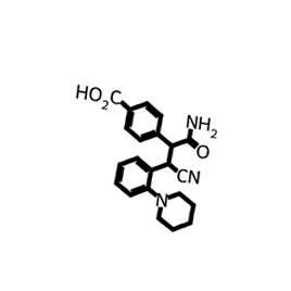 N#CC(c1ccccc1N1CCCCC1)C(C(N)=O)c1ccc(C(=O)O)cc1